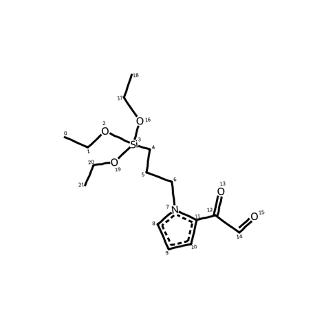 CCO[Si](CCCn1cccc1C(=O)C=O)(OCC)OCC